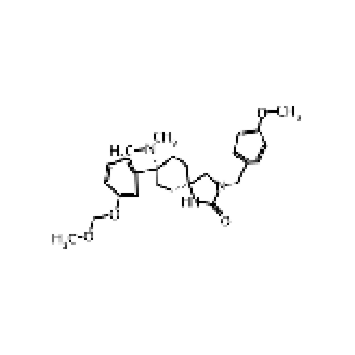 COCOc1cccc([C@]2(N(C)C)CC[C@]3(CC2)CN(Cc2ccc(OC)cc2)C(=O)N3)c1